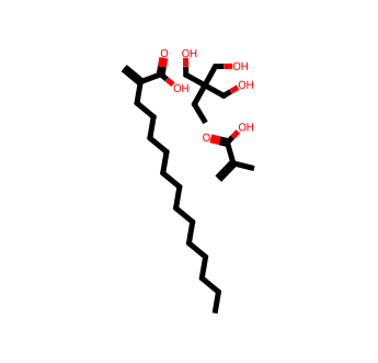 C=C(C)C(=O)O.C=C(CCCCCCCCCCCCC)C(=O)O.CCC(CO)(CO)CO